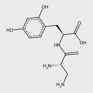 NC[C@H](N)C(=O)N[C@@H](Cc1ccc(O)cc1O)C(=O)O